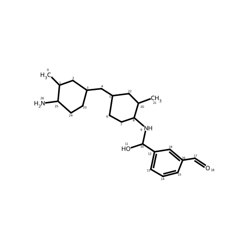 CC1CC(CC2CCC(NC(O)c3cccc(C=O)c3)C(C)C2)CCC1N